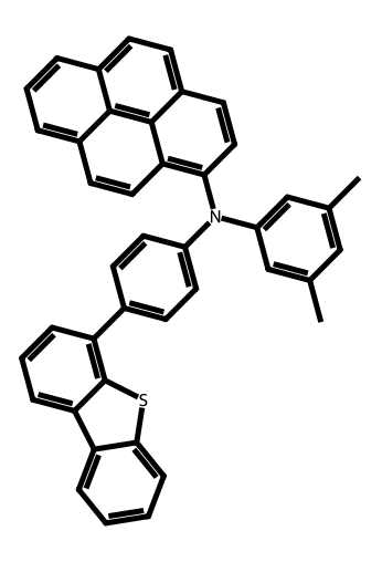 Cc1cc(C)cc(N(c2ccc(-c3cccc4c3sc3ccccc34)cc2)c2ccc3ccc4cccc5ccc2c3c45)c1